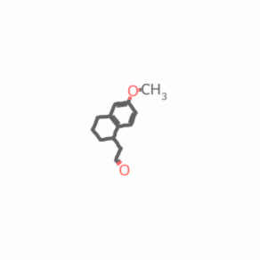 COc1ccc2c(c1)CCCC2CC=O